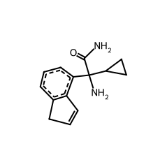 NC(=O)C(N)(c1cccc2c1C=CC2)C1CC1